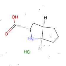 Cl.O=C(O)[C@@H]1C[C@H]2CCC[C@H]2N1